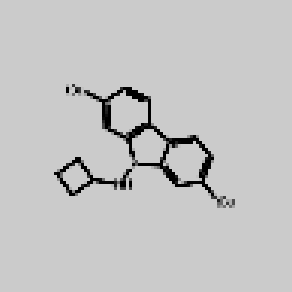 CC(C)(C)c1ccc2c3ccc(C(C)(C)C)cc3p(NC3CCC3)c2c1